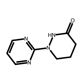 O=C1CCCN(c2ncccn2)N1